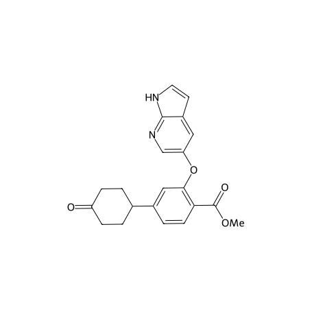 COC(=O)c1ccc(C2CCC(=O)CC2)cc1Oc1cnc2[nH]ccc2c1